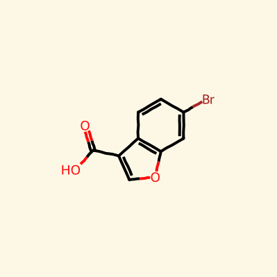 O=C(O)c1coc2cc(Br)ccc12